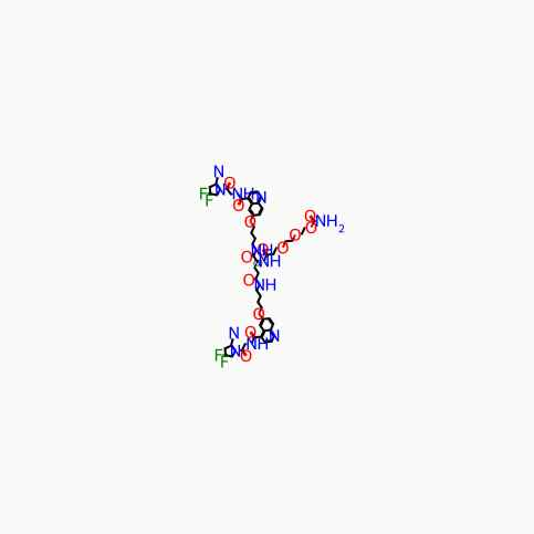 N#CC1CC(F)(F)CN1C(=O)CNC(=O)c1ccnc2ccc(OCCCCNC(=O)CC[C@H](NC(=O)CCOCCOCCOC(N)=O)C(=O)NCCCCOc3ccc4nccc(C(=O)NCC(=O)N5CC(F)(F)CC5C#N)c4c3)cc12